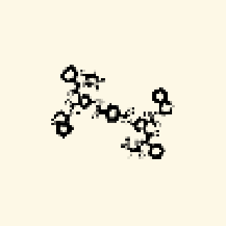 CN[C@@H](C)C(=O)N[C@H](C(=O)N1C[C@@H](NC(=O)c2ccc(C(=O)N[C@H]3C[C@@H](C(=O)N[C@@H]4CCSc5ccccc54)N(C(=O)[C@@H](NC(=O)[C@H](C)NC)C4CCCCC4)C3)cc2)C[C@H]1C(=O)N[C@@H]1CCSc2ccccc21)C1CCCCC1